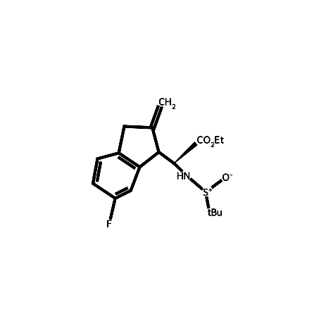 C=C1Cc2ccc(F)cc2C1[C@H](N[S+]([O-])C(C)(C)C)C(=O)OCC